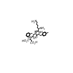 Cc1ccc(C[C@H](NC(=O)[C@H](N)CCCCN)C(=O)N[C@@H](Cc2ccccc2)C(=O)N[C@@H](CC(=O)O)C(=O)O)cc1